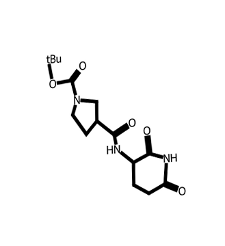 CC(C)(C)OC(=O)N1CCC(C(=O)NC2CCC(=O)NC2=O)C1